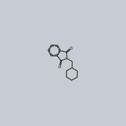 O=C1c2ccccc2C(=O)N1CC1CC[CH]CC1